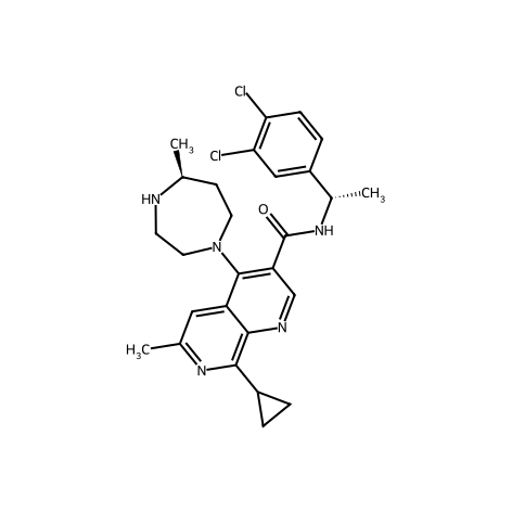 Cc1cc2c(N3CCN[C@@H](C)CC3)c(C(=O)N[C@@H](C)c3ccc(Cl)c(Cl)c3)cnc2c(C2CC2)n1